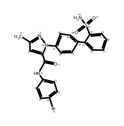 Cc1cc(C(=O)Nc2ccc(Br)cc2)n(-c2ccc(-c3ccccc3S(N)(=O)=O)cc2)n1